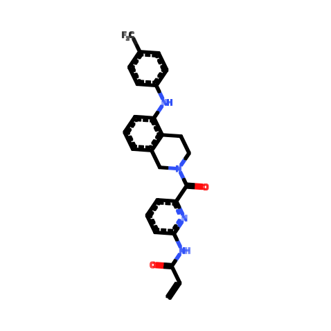 C=CC(=O)Nc1cccc(C(=O)N2CCc3c(cccc3Nc3ccc(C(F)(F)F)cc3)C2)n1